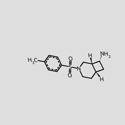 Cc1ccc(S(=O)(=O)N2CC[C@H]3C[C@@H](N)[C@H]3C2)cc1